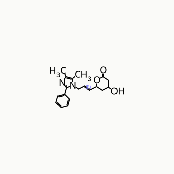 Cc1nc(-c2ccccc2)n(C/C=C/C2CC(O)CC(=O)O2)c1C